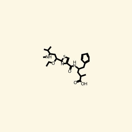 CCOC(CC(NC)C(C)C)c1nc(C(=O)NC(Cc2ccccc2)CC(C)C(=O)O)cs1